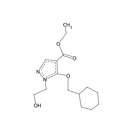 CCOC(=O)c1cnn(CCO)c1OCC1CCCCC1